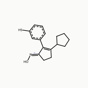 O/N=C1\CCC(C2CCCC2)=C1c1cccc(S)c1